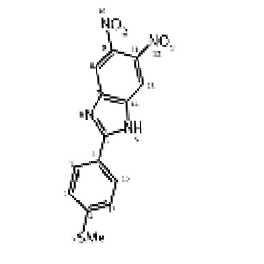 CSc1ccc(-c2nc3cc([N+](=O)[O-])c([N+](=O)[O-])cc3[nH]2)cc1